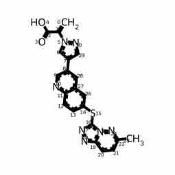 C=C(C(=O)O)n1cc(-c2cnc3ccc(Sc4nnc5ccc(C)nn45)cc3c2)cn1